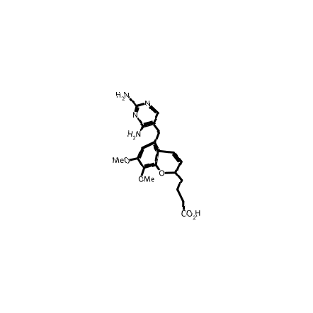 COc1cc(Cc2cnc(N)nc2N)c2c(c1OC)OC(CCCC(=O)O)C=C2